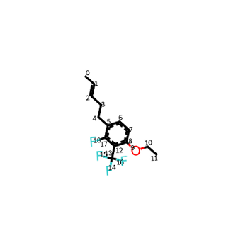 C/C=C/CCc1ccc(OCC)c(C(F)(F)F)c1F